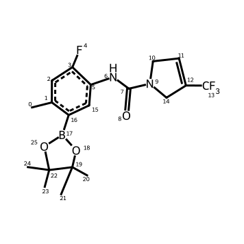 Cc1cc(F)c(NC(=O)N2CC=C(C(F)(F)F)C2)cc1B1OC(C)(C)C(C)(C)O1